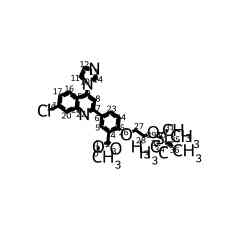 COC(=O)c1cc(-c2cc(-n3ccnc3)c3ccc(Cl)cc3n2)ccc1OCCO[Si](C)(C)C(C)(C)C